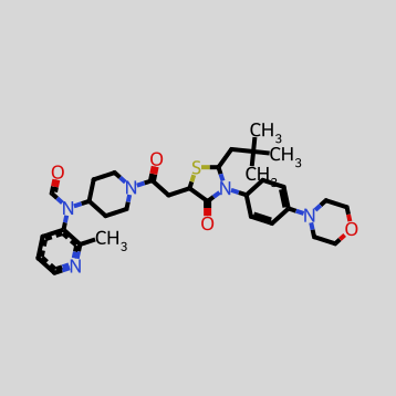 Cc1ncccc1N(C=O)C1CCN(C(=O)CC2SC(CC(C)(C)C)N(C3C=CC(N4CCOCC4)=CC3)C2=O)CC1